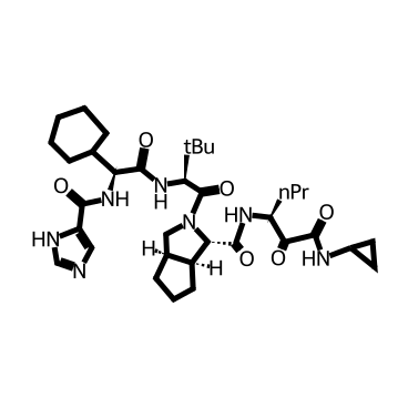 CCC[C@H](NC(=O)[C@@H]1[C@H]2CCC[C@H]2CN1C(=O)[C@@H](NC(=O)[C@@H](NC(=O)c1cnc[nH]1)C1CCCCC1)C(C)(C)C)C(=O)C(=O)NC1CC1